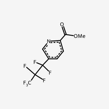 COC(=O)c1ccc(C(F)(F)C(F)(F)C(F)(F)F)cn1